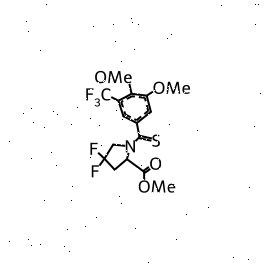 COC(=O)C1CC(F)(F)CN1C(=S)c1cc(OC)c(OC)c(C(F)(F)F)c1